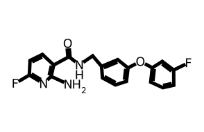 Nc1nc(F)ccc1C(=O)NCc1cccc(Oc2cccc(F)c2)c1